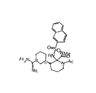 CNC(=O)C1(NS(=O)(=O)c2ccc3ccccc3c2)[C]([C@@H]2CCCN(C(=N)N)C2)CCCN1C(C)=O